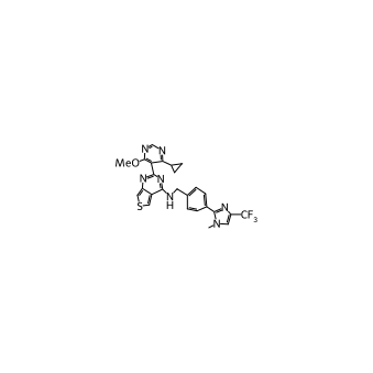 COc1ncnc(C2CC2)c1-c1nc(NCc2ccc(-c3nc(C(F)(F)F)cn3C)cc2)c2cscc2n1